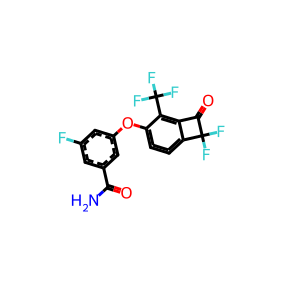 NC(=O)c1cc(F)cc(OC2=C=C=C3C(=C2C(F)(F)F)C(=O)C3(F)F)c1